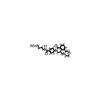 CNCCCNC(=O)c1ccc(N(CCCN2CCOCC2)C(=O)c2cc[c]cc2)cc1